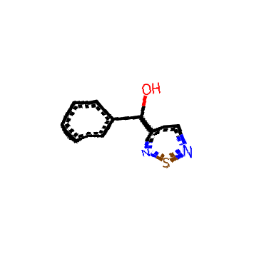 OC(c1ccccc1)c1cnsn1